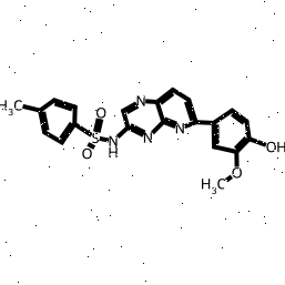 COc1cc(-c2ccc3ncc(NS(=O)(=O)c4ccc(C)cc4)nc3n2)ccc1O